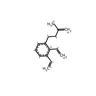 C=Cc1cccc(CCC(=C)[SiH3])c1C=C